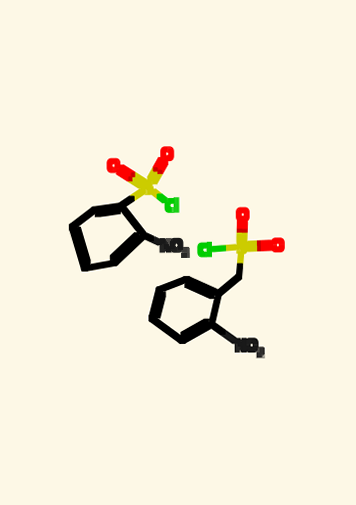 O=[N+]([O-])c1ccccc1CS(=O)(=O)Cl.O=[N+]([O-])c1ccccc1S(=O)(=O)Cl